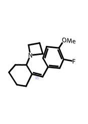 COc1ccc(/C=C2/CCCCC2N2CCC2)cc1F